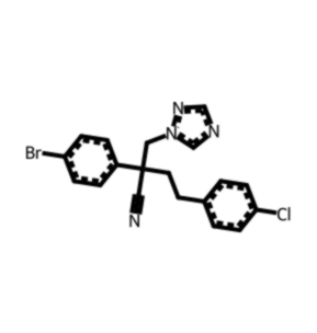 N#CC(CCc1ccc(Cl)cc1)(Cn1cncn1)c1ccc(Br)cc1